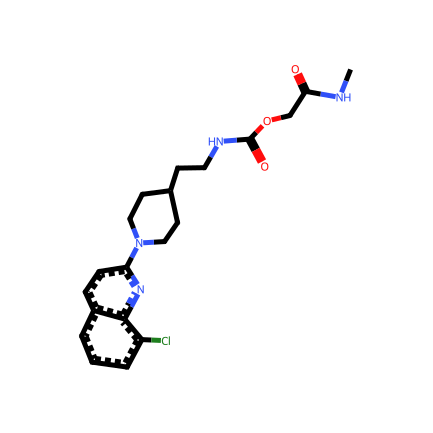 CNC(=O)COC(=O)NCCC1CCN(c2ccc3cccc(Cl)c3n2)CC1